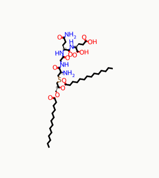 CCCCCCCCCCCCCC(=O)OC[C@H](CSC[C@H](N)C(=O)NCC(=O)N[C@@H](CCC(N)=O)C(=O)N[C@@H](CCC(=O)O)C(=O)O)OC(=O)CCCCCCCCCCCCC